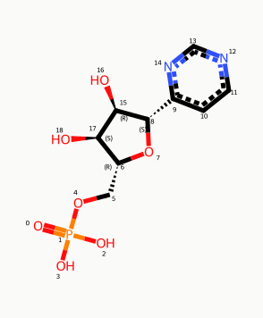 O=P(O)(O)OC[C@H]1O[C@@H](c2ccncn2)[C@H](O)[C@@H]1O